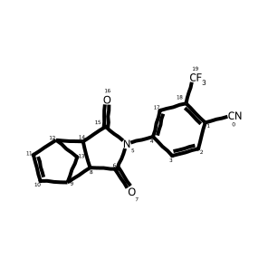 N#Cc1ccc(N2C(=O)C3C4C=CC(C4)C3C2=O)cc1C(F)(F)F